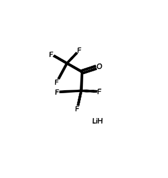 O=C(C(F)(F)F)C(F)(F)F.[LiH]